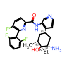 CC[C@]1(O)[C@H](C)C[C@H](c2ccncc2NC(=O)c2ccc(F)c(-c3c(F)cccc3F)n2)C[C@@H]1N